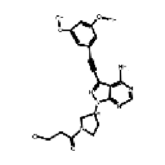 COc1cc(C#Cc2nn([C@H]3CCN(C(=O)CCCl)C3)c3ncnc(N)c23)cc(OC)c1